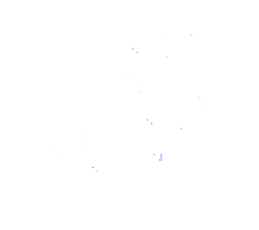 NC(=O)N(c1ccccc1Cc1ccccc1N=C=O)c1ccccc1Cc1ccccc1N=C=O